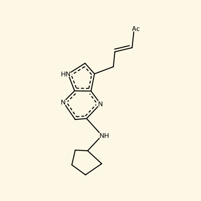 CC(=O)C=CCc1c[nH]c2ncc(NC3CCCC3)nc12